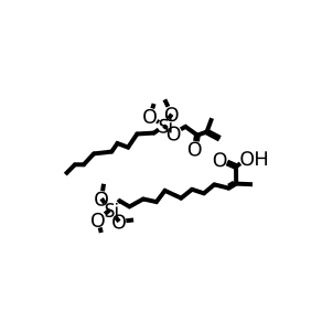 C=C(C)C(=O)CO[Si](CCCCCCCCC)(OC)OC.CO[Si](CCCCCCCCCC=C(C)C(=O)O)(OC)OC